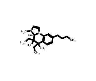 CCCCc1ccc2c(c1)N1C=CN(C)[C@H]1C(C)(CC)C2(C)CC